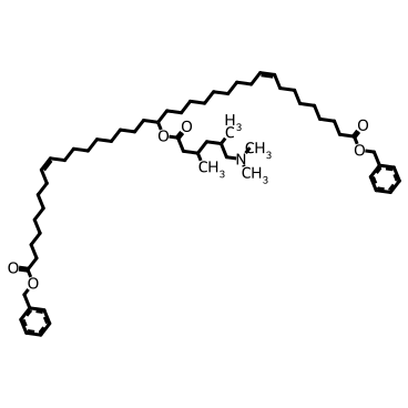 CC(CC(=O)OC(CCCCCCCC/C=C\CCCCCCCC(=O)OCc1ccccc1)CCCCCCCC/C=C\CCCCCCCC(=O)OCc1ccccc1)CC(C)CN(C)C